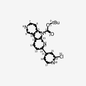 CC(C)(C)OC(=O)n1c2ccncc2c2ccc(-c3ccnc(Cl)c3)nc21